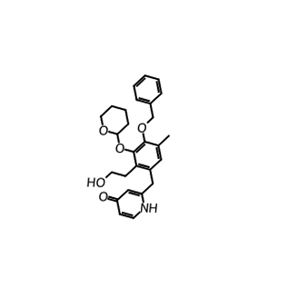 Cc1cc(Cc2cc(=O)cc[nH]2)c(CCO)c(OC2CCCCO2)c1OCc1ccccc1